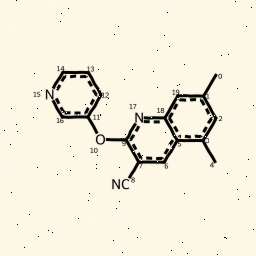 Cc1cc(C)c2cc(C#N)c(Oc3cccnc3)nc2c1